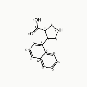 O=C(O)C1CNCC1c1cccc2ccccc12